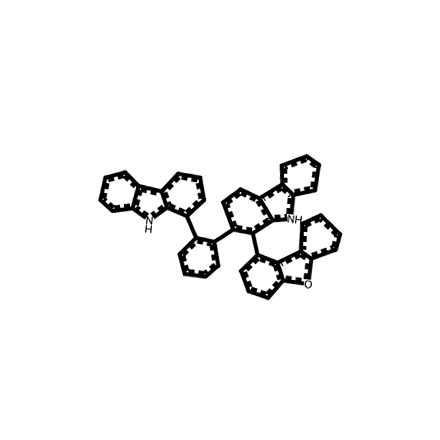 c1ccc(-c2cccc3c2[nH]c2ccccc23)c(-c2ccc3c([nH]c4ccccc43)c2-c2cccc3oc4ccccc4c23)c1